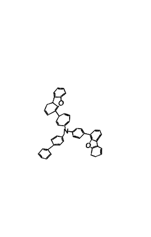 C1=CC(C2=C3Oc4ccccc4C3CC=C2)C=CC(N(c2ccc(-c3ccccc3)cc2)c2ccc(-c3cccc4c5c(oc34)CCC=C5)cc2)=C1